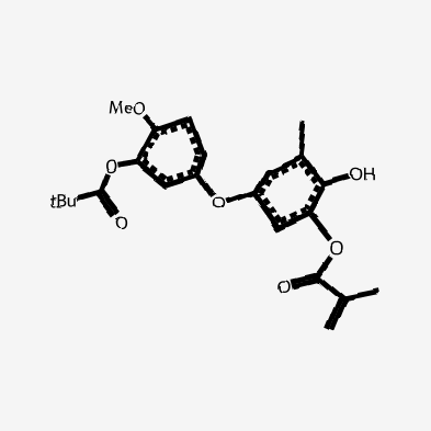 C=C(C)C(=O)Oc1cc(Oc2ccc(OC)c(OC(=O)C(C)(C)C)c2)cc(C)c1O